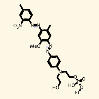 CCOP(=O)(O)OCCN(CCO)c1ccc(/N=N/c2cc(C)c(/N=N/c3ccc(C)cc3[N+](=O)[O-])cc2OC)cc1